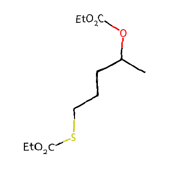 CCOC(=O)OC(C)CCCSC(=O)OCC